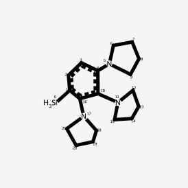 [SiH3]c1ccc(N2CCCC2)c(N2CCCC2)c1N1CCCC1